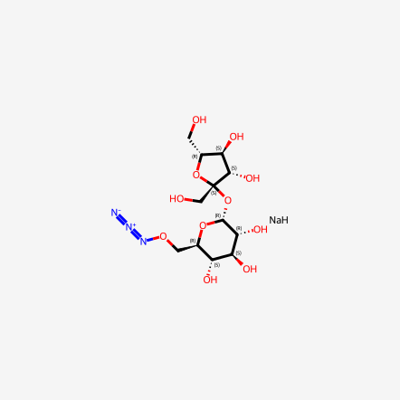 [N-]=[N+]=NOC[C@H]1O[C@H](O[C@]2(CO)O[C@H](CO)[C@@H](O)[C@@H]2O)[C@H](O)[C@@H](O)[C@@H]1O.[NaH]